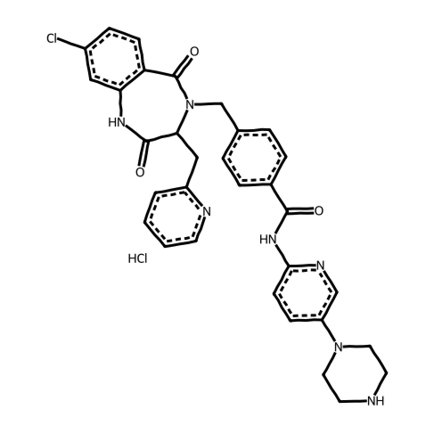 Cl.O=C(Nc1ccc(N2CCNCC2)cn1)c1ccc(CN2C(=O)c3ccc(Cl)cc3NC(=O)C2Cc2ccccn2)cc1